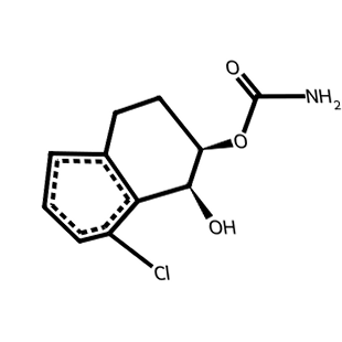 NC(=O)O[C@@H]1CCc2cccc(Cl)c2[C@@H]1O